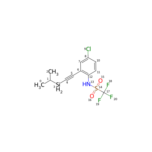 CC(C)[SiH2]C#Cc1cc(Cl)ccc1NS(=O)(=O)C(F)(F)F